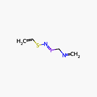 C=CS/N=I/CN=C